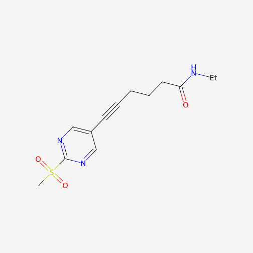 CCNC(=O)CCCC#Cc1cnc(S(C)(=O)=O)nc1